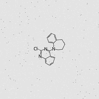 Clc1nc(N2CCCCc3ccccc32)c2ccccc2n1